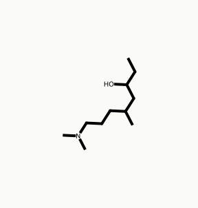 CCC(O)CC(C)CCCN(C)C